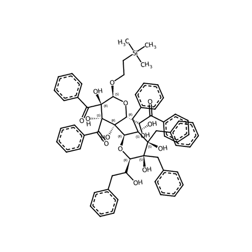 C[Si](C)(C)CCO[C@H]1O[C@H](C(O)C(=O)c2ccccc2)[C@@](O)([C@@H]2O[C@H](C(O)Cc3ccccc3)[C@@](O)(Cc3ccccc3)[C@@](O)(Cc3ccccc3)[C@]2(O)Cc2ccccc2)[C@@](O)(C(=O)c2ccccc2)[C@]1(O)C(=O)c1ccccc1